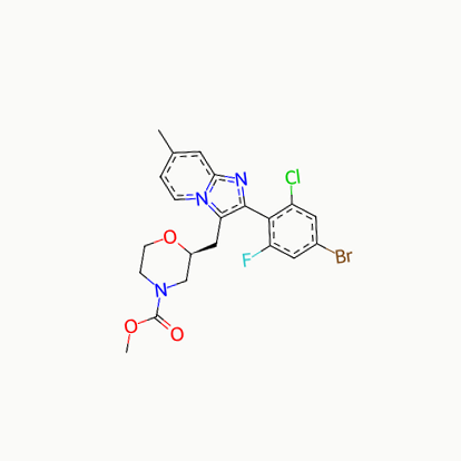 COC(=O)N1CCO[C@@H](Cc2c(-c3c(F)cc(Br)cc3Cl)nc3cc(C)ccn23)C1